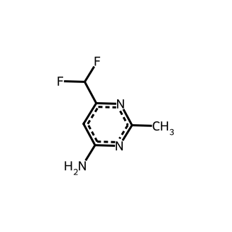 Cc1nc(N)cc(C(F)F)n1